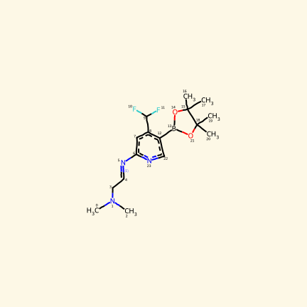 CN(C)C/C=N/c1cc(C(F)F)c(B2OC(C)(C)C(C)(C)O2)cn1